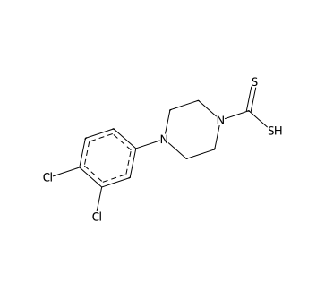 S=C(S)N1CCN(c2ccc(Cl)c(Cl)c2)CC1